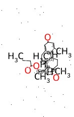 CCCC(=O)O[C@@H](C)[C@@H]1CC(=O)[C@@]2(C)CC[C@H]3[C@@H](CCC4=CC(=O)C=C(C)[C@@]43C)[C@H]12